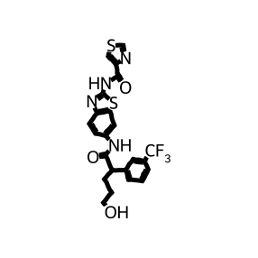 O=C(Nc1nc2ccc(NC(=O)C(CCCO)c3cccc(C(F)(F)F)c3)cc2s1)c1cscn1